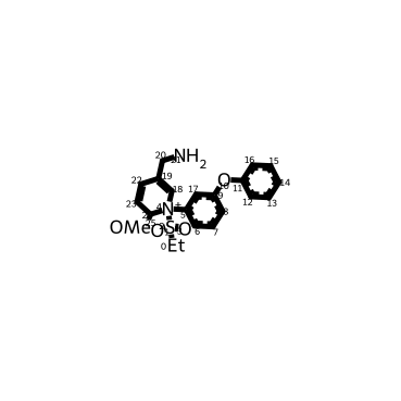 CCS(=O)(=O)[N+]1(c2cccc(Oc3ccccc3)c2)C=C(CN)C=CC1OC